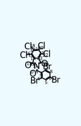 O=C(c1c(Br)cc(Br)cc1Br)N1C(=O)c2c(Cl)c(Cl)c(Cl)c(Cl)c2C1=O